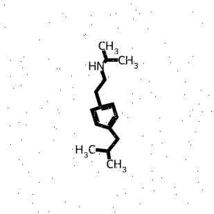 CC(C)Cc1ccc(CCNC(C)C)cc1